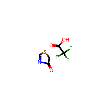 O=C(O)C(F)(F)F.O=C1CSC=N1